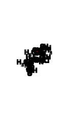 C[C@@H]1CN(c2ncc(Cl)c(Nc3ccc4c(c3)n(CCC(C)(C)O)c(=O)n4CC(C)(C)O)n2)CC[C@H]1Nc1ccc2c(C3CCC(=O)NC3=O)nn(C)c2c1